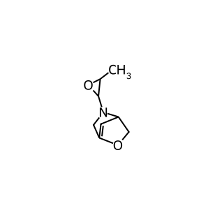 CC1OC1N1CC2=CC1CO2